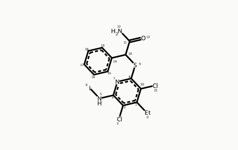 CCc1c(Cl)c(NI)nc(SC(C(N)=O)c2ccccc2)c1Cl